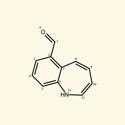 O=Cc1cccc2c1C=CC=CN2